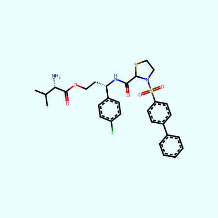 CC(C)[C@H](N)C(=O)OCC[C@H](NC(=O)C1SCCN1S(=O)(=O)c1ccc(-c2ccccc2)cc1)c1ccc(F)cc1